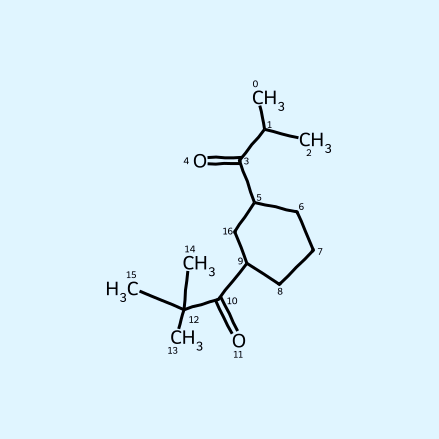 CC(C)C(=O)C1CCCC(C(=O)C(C)(C)C)C1